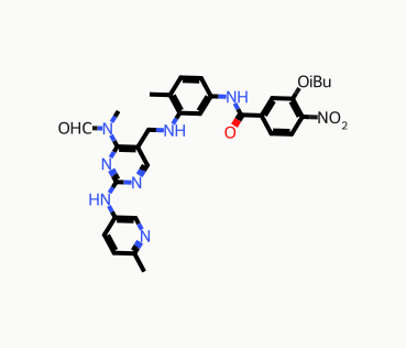 Cc1ccc(Nc2ncc(CNc3cc(NC(=O)c4ccc([N+](=O)[O-])c(OCC(C)C)c4)ccc3C)c(N(C)C=O)n2)cn1